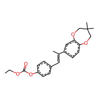 CCOC(=O)Oc1ccc(/C=C(\C)c2ccc3c(c2)OCC(C)(C)CO3)cc1